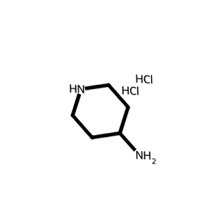 Cl.Cl.NC1CCNCC1